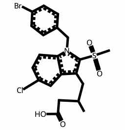 CC(CC(=O)O)Cc1c(S(C)(=O)=O)n(Cc2ccc(Br)cc2)c2ccc(Cl)cc12